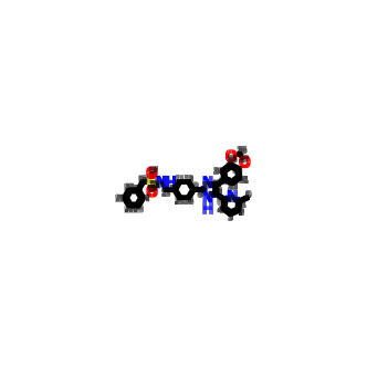 Cc1cccc(-c2[nH]c(C3CCC(CNS(=O)(=O)Cc4ccccc4)CC3)nc2-c2ccc3c(c2)OCO3)n1